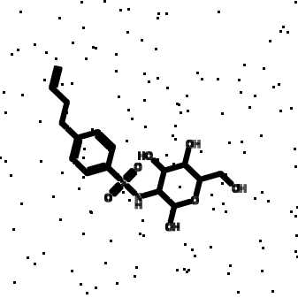 C=CCCc1ccc(S(=O)(=O)NC2C(O)OC(CO)C(O)C2O)cc1